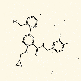 Cc1ccc(CNC(=O)c2cc(-c3ncccc3CO)cnc2OCC2CC2)cc1F